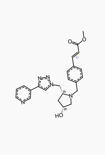 COC(=O)/C=C/c1ccc(CN2C[C@H](O)C[C@@H]2Cn2cc(-c3cccnc3)nn2)cc1